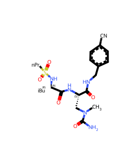 CCCS(=O)(=O)N[C@@H](C(=O)N[C@@H](CN(C)C(N)=O)C(=O)NCc1ccc(C#N)cc1)[C@H](C)CC